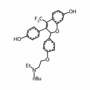 CCCCN(CC)CCOc1ccc(C2Oc3cc(O)ccc3C(C(F)(F)F)=C2c2ccc(O)cc2)cc1